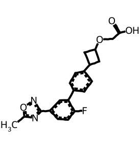 Cc1nc(-c2ccc(F)c(-c3ccc(C4CC(OCC(=O)O)C4)cc3)c2)no1